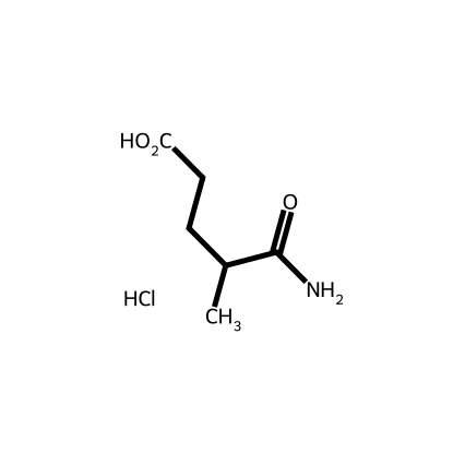 CC(CCC(=O)O)C(N)=O.Cl